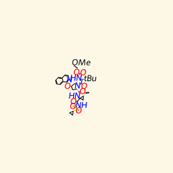 C=C[C@@H]1C[C@]1(NC(=O)[C@@H]1C[C@@H](Oc2nccc3ccccc23)CN1C(=O)C(NC(=O)OCCOC)C(C)(C)C)C(=O)NS(=O)(=O)C1CC1